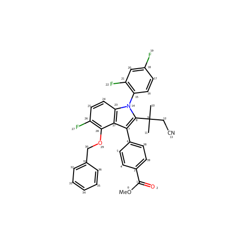 COC(=O)c1ccc(-c2c(C(C)(C)CC#N)n(-c3ccc(F)cc3F)c3ccc(F)c(OCc4ccccc4)c23)cc1